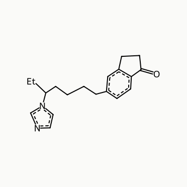 CCC(CCCCc1ccc2c(c1)CCC2=O)n1ccnc1